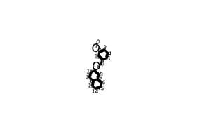 COc1cccc(COc2ccc3ccccc3c2)c1